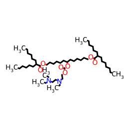 CCCCCCCC(CCCCCC)C(=O)OCCCCCCC(CCCCCCOC(=O)C(CCCCCC)CCCCCC)OC(=O)OCCN(CC)CCN(CC)CC